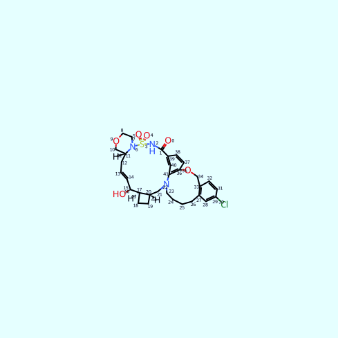 O=C1NS(=O)(=O)N2CCOC[C@H]2C/C=C/[C@H](O)[C@@H]2CC[C@H]2CN2CCCCc3cc(Cl)ccc3COc3ccc1cc32